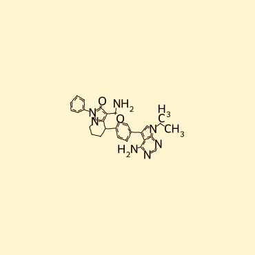 CC(C)n1cc(-c2ccc(C3CCCn4c3c(C(N)=O)c(=O)n4-c3ccccc3)cc2)c2c(N)ncnc21